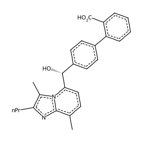 CCCc1nc2c(C)ccc([C@H](O)c3ccc(-c4ccccc4C(=O)O)cc3)n2c1C